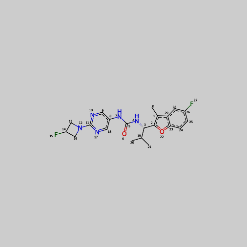 Cc1c([C@@H](NC(=O)Nc2cnc(N3CC(F)C3)nc2)C(C)C)oc2ccc(F)cc12